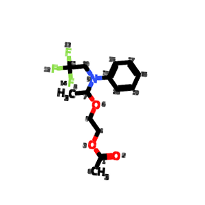 CC(=O)OCCOC(C)N(CC(F)(F)F)c1ccccc1